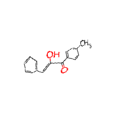 Cc1ccc(C(=O)C(O)=Cc2ccccc2)cc1